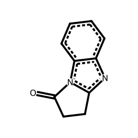 O=C1CCc2nc3ccccc3n21